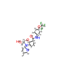 Cc1ccc(N2c3cccc(C(=O)Nc4ccc(OC(F)(F)F)cc4)c3OCC2CO)nc1